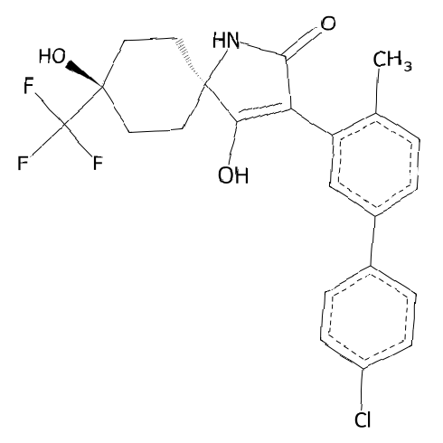 Cc1ccc(-c2ccc(Cl)cc2)cc1C1=C(O)[C@]2(CC[C@@](O)(C(F)(F)F)CC2)NC1=O